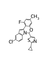 Cc1cc(F)c2c(c1)OC(c1cnc(C3CC3)s1)n1c-2cc2cc(Cl)ccc21